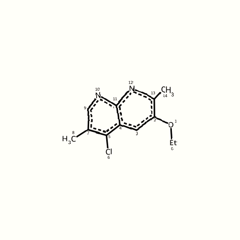 CCOc1cc2c(Cl)c(C)cnc2nc1C